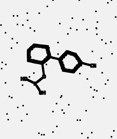 N#Cc1ccc(-c2ccccc2OB(O)O)cc1